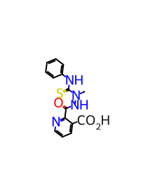 CN(NC(=O)c1ncccc1C(=O)O)C(=S)Nc1ccccc1